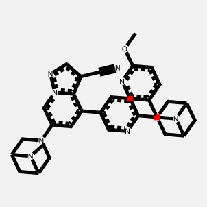 COc1ccc(CN2C3CC2CN(c2ccc(-c4cc(N5CC6CC(C5)N6C)cn5ncc(C#N)c45)cn2)C3)cn1